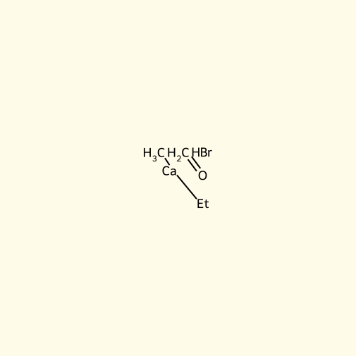 Br.C=O.C[CH2][Ca][CH3]